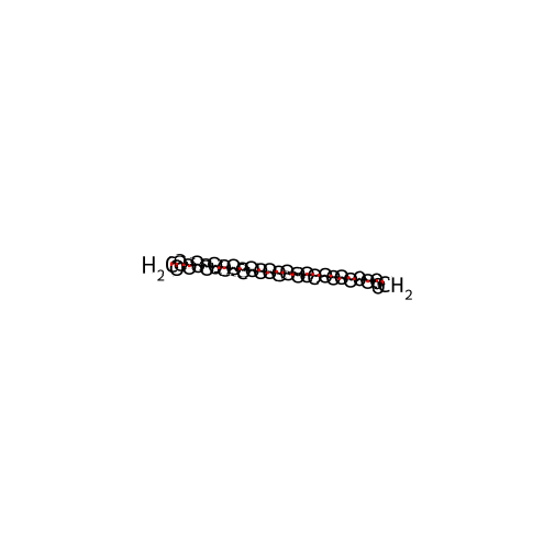 C=CC(=O)OCCOCCOCCOCCOCCOCCOCCOCCOCCOCCOCCOCCOCCOCCOCCOCCOCCOCCOCCOCCOCCOCCOC(=O)C=C